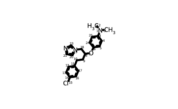 CN(C)c1ccc(OC(CCc2ccc(Cl)cc2)Cn2ccnc2)cc1